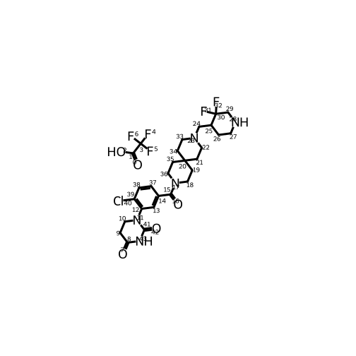 O=C(O)C(F)(F)F.O=C1CCN(c2cc(C(=O)N3CCC4(CCN(CC5CCNCC5(F)F)CC4)CC3)ccc2Cl)C(=O)N1